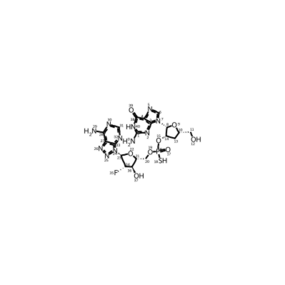 Nc1nc2c(ncn2[C@@H]2O[C@H](CO)C[C@@H]2OP(=O)(S)OC[C@H]2O[C@@H](n3nnc4c(N)ncnc43)[C@@H](F)[C@@H]2O)c(=O)[nH]1